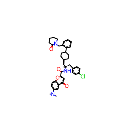 CN(C)c1ccc2oc(C(=O)N[C@@H](C=C3CCC(c4ccccc4CN4CCCCC4=O)CC3)Cc3ccc(Cl)cc3)cc(=O)c2c1